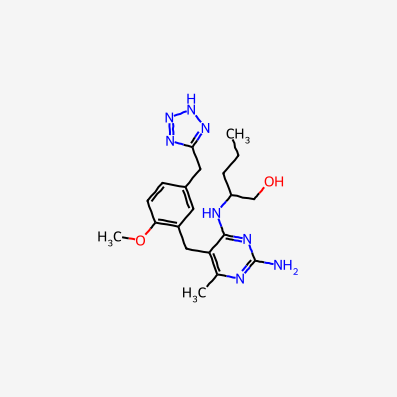 CCCC(CO)Nc1nc(N)nc(C)c1Cc1cc(Cc2nn[nH]n2)ccc1OC